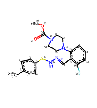 Cc1ccc(SN/N=C/c2c(F)cccc2N2CCN(C(=O)OC(C)(C)C)CC2)cc1